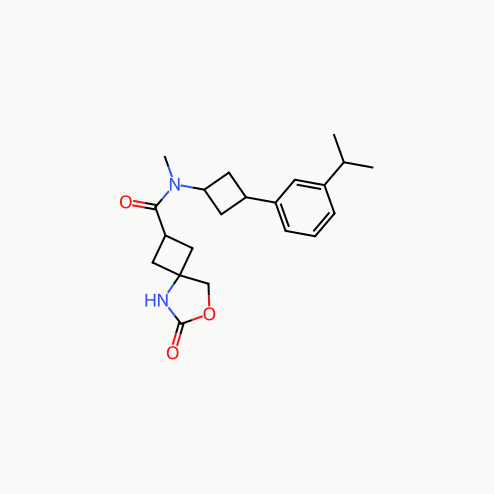 CC(C)c1cccc(C2CC(N(C)C(=O)C3CC4(COC(=O)N4)C3)C2)c1